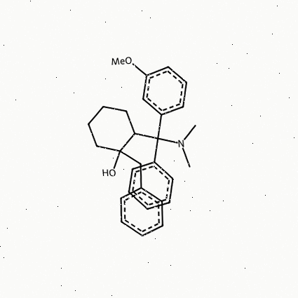 COc1cccc(C(c2ccccc2)(C2CCCCC2(O)Cc2ccccc2)N(C)C)c1